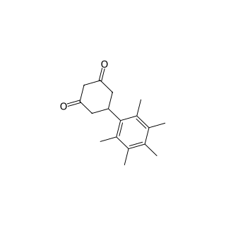 Cc1c(C)c(C)c(C2CC(=O)CC(=O)C2)c(C)c1C